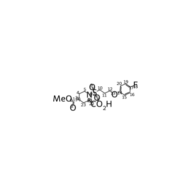 COC(=O)[C@@H]1CCN(S(=O)(=O)CCCOc2ccc(F)cc2)[C@@H](C(=O)O)C1